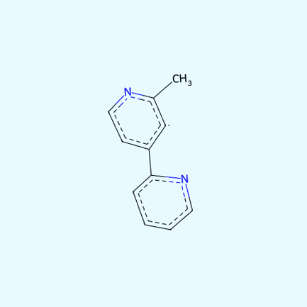 Cc1[c]c(-c2ccccn2)ccn1